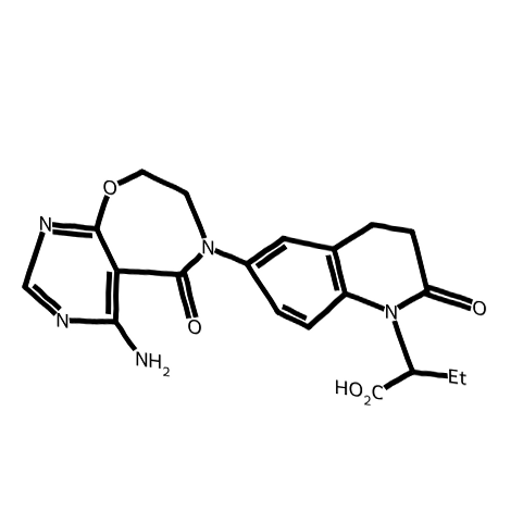 CCC(C(=O)O)N1C(=O)CCc2cc(N3CCOc4ncnc(N)c4C3=O)ccc21